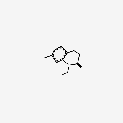 O=C1CCc2ccc(O)cc2N1CO